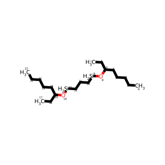 CCCCCC(CC)O[SiH2]CCC[SiH2]OC(CC)CCCCC